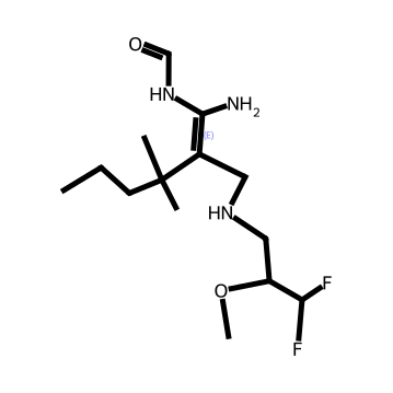 CCCC(C)(C)/C(CNCC(OC)C(F)F)=C(/N)NC=O